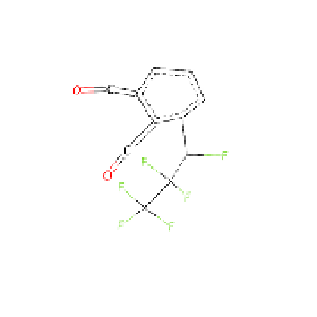 O=C=c1cccc(C(F)C(F)(F)C(F)(F)F)c1=C=O